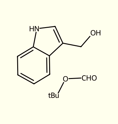 CC(C)(C)OC=O.OCc1c[nH]c2ccccc12